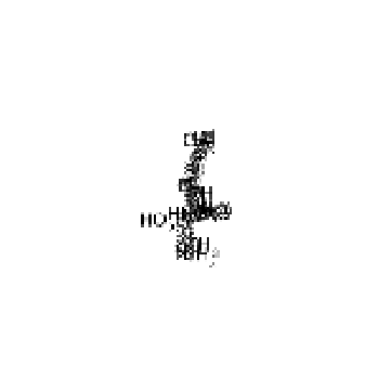 Cc1nccc(-c2ccc(C[C@H](NC(=O)[C@@H]3Cc4cc5c(cc4CN3C(=O)NC3CCc4ccccc43)O[C@@H](c3ccc(OCc4ccc(Cl)c(Cl)c4)cc3)CO5)C(=O)O)cc2)c1C